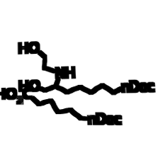 CCCCCCCCCCCCCCCC(=O)O.CCCCCCCCCCCCCCCC(CO)NCCO